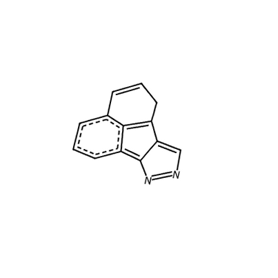 C1=Cc2cccc3c2=C(C1)C1=CN=NC=31